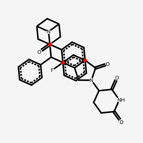 O=C1CCC(N2Cc3c(ccc(C(=O)N4C5CC4CN(C(c4ccccc4)c4ccccc4)C5)c3F)C2=O)C(=O)N1